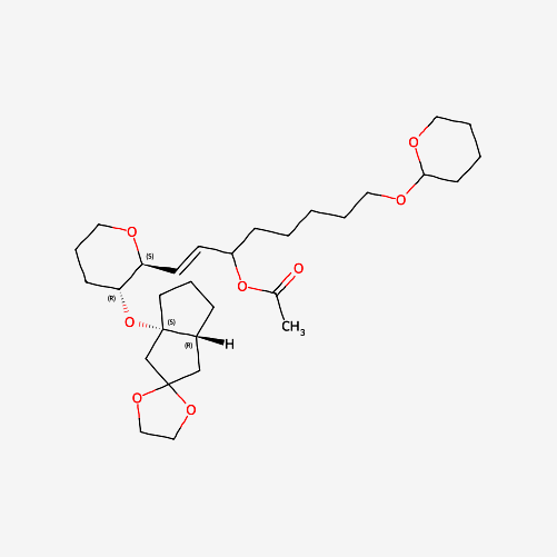 CC(=O)OC(C=C[C@@H]1OCCC[C@H]1O[C@]12CCC[C@@H]1CC1(C2)OCCO1)CCCCCOC1CCCCO1